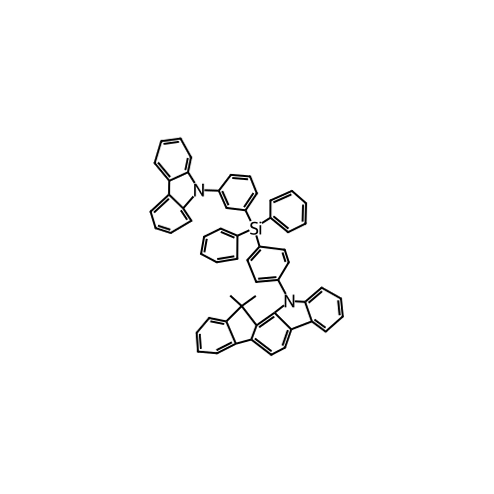 CC1(C)c2ccccc2-c2ccc3c4ccccc4n(-c4ccc([Si](c5ccccc5)(c5ccccc5)c5cccc(-n6c7ccccc7c7ccccc76)c5)cc4)c3c21